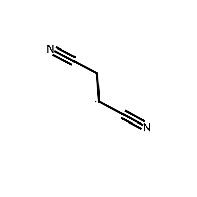 N#C[CH]CC#N